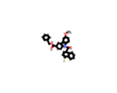 COc1ccc2c(c1)c1c(n2C(=O)c2ccc(F)c3ccccc23)CCC(C(=O)OCc2ccccc2)C1